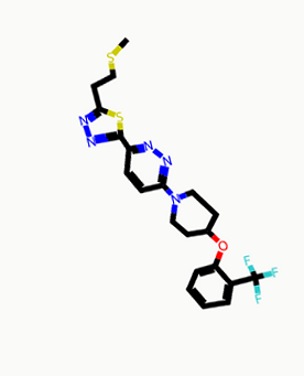 CSCCc1nnc(-c2ccc(N3CCC(Oc4ccccc4C(F)(F)F)CC3)nn2)s1